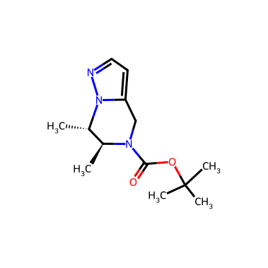 C[C@H]1[C@H](C)n2nccc2CN1C(=O)OC(C)(C)C